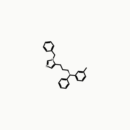 Cc1cccc([C@H](CCCc2cncn2Cc2ccccc2)c2ccccc2)c1